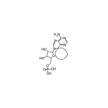 Nc1ncnc2c1N=CN(C1OC(COP(=O)(O)O)C(O)C1O)C21CCCCCCCC1